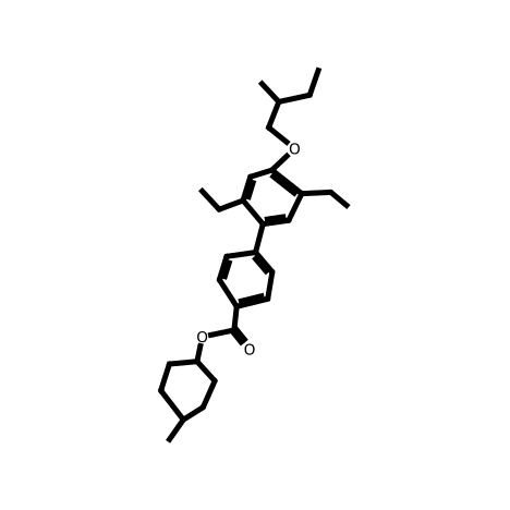 CCc1cc(-c2ccc(C(=O)OC3CCC(C)CC3)cc2)c(CC)cc1OCC(C)CC